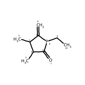 C=C1C(C)C(C)C(=O)P1CC